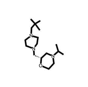 CC(C)N1CCO[C@H](CN2CCN(CC(C)(C)C)CC2)C1